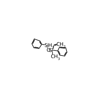 C=C[Si](C)(O[SiH2]c1ccccc1)c1ccccc1